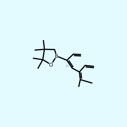 C=CC(/C=C(\C=C)B1CC(C)(C)C(C)(C)O1)=C(C)C